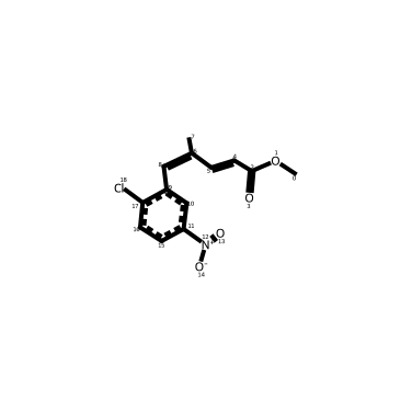 COC(=O)C=CC(C)=Cc1cc([N+](=O)[O-])ccc1Cl